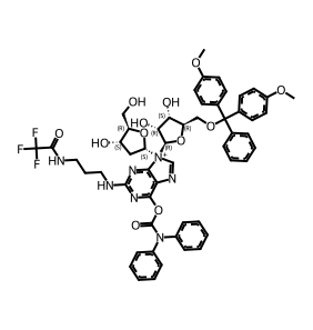 COc1ccc(C(OC[C@H]2O[C@@H]([N+]3([C@@H]4C[C@H](O)[C@@H](CO)O4)C=Nc4c(OC(=O)N(c5ccccc5)c5ccccc5)nc(NCCCNC(=O)C(F)(F)F)nc43)[C@H](O)[C@@H]2O)(c2ccccc2)c2ccc(OC)cc2)cc1